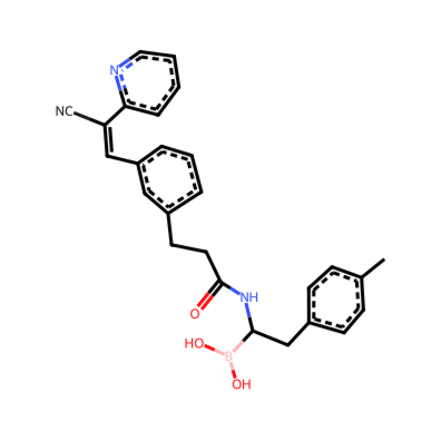 Cc1ccc(CC(NC(=O)CCc2cccc(C=C(C#N)c3ccccn3)c2)B(O)O)cc1